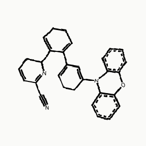 N#CC1=NC(C2=CCCC=C2C2=CCCC(N3c4ccccc4Oc4ccccc43)=C2)CC=C1